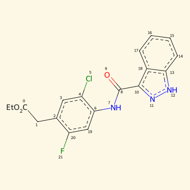 CCOC(=O)Cc1cc(Cl)c(NC(=O)c2n[nH]c3ccccc23)cc1F